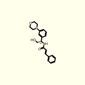 O=C(C=Cc1ccccc1)N[C@@H](CO)c1cccc(N2CCOCC2)c1